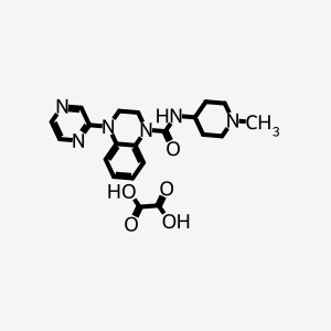 CN1CCC(NC(=O)N2CCN(c3cnccn3)c3ccccc32)CC1.O=C(O)C(=O)O